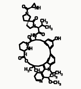 CCn1c(C2=C([C@H](C)OC)N=CCC2)c2c3cc(ccc31)-c1cc(O)cc(c1)C[C@H](NC(=O)[C@H](C(C)C)N1CC[C@@]3(CCN(C(=O)[C@H]4CN4)C3)C1=O)C(=O)N1CCC[C@H](N1)C(=O)OCC(C)(C)C2